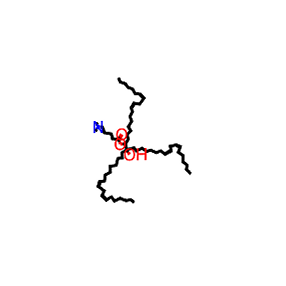 CCCCCC/C=C\C/C=C\CCCCCCCCC(O)(CCCCCCC/C=C\C/C=C\CCCCCC)C(CCCCCCC/C=C\C/C=C\CCCCCC)OC(=O)CCCCN(C)C